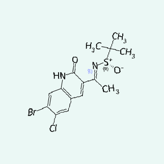 C/C(=N\[S@@+]([O-])C(C)(C)C)c1cc2cc(Cl)c(Br)cc2[nH]c1=O